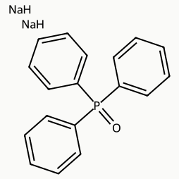 O=P(c1ccccc1)(c1ccccc1)c1ccccc1.[NaH].[NaH]